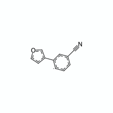 N#Cc1cc[c]c(-c2ccoc2)c1